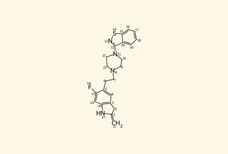 C=C1Cc2cc(CCN3CCN(c4nsc5ccccc45)CC3)c(F)cc2N1